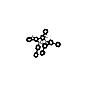 c1ccc(-c2ccc(N3B4c5c(cc6c(oc7ccccc76)c5-n5c6ccc(-c7ccccc7)cc6c6cc(-c7ccccc7)cc4c65)-c4cc5sc6ccccc6c5cc43)cc2)cc1